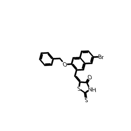 O=C1NC(=S)SC1=Cc1cc2cc(Br)ccc2cc1OCc1ccccc1